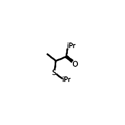 CC(C)SC(C)C(=O)C(C)C